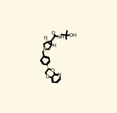 CC(C)(O)CNC(=O)C1[C@H]2CN(Cc3ccc([C@H]4COc5cccnc5O4)cc3)C[C@@H]12